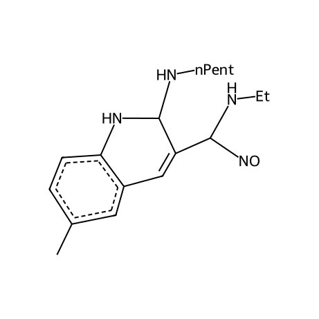 CCCCCNC1Nc2ccc(C)cc2C=C1C(N=O)NCC